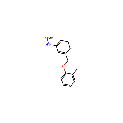 CONC1=CC[CH]C(COc2ccccc2C)=C1